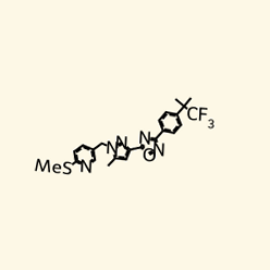 CSc1ccc(Cn2nc(-c3nc(-c4ccc(C(C)(C)C(F)(F)F)cc4)no3)cc2C)cn1